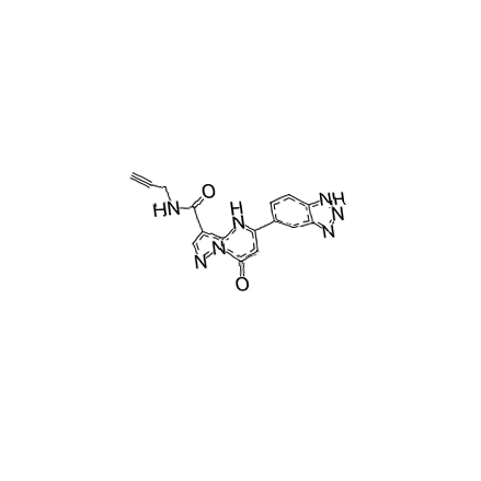 C#CCNC(=O)c1cnn2c(=O)cc(-c3ccc4[nH]nnc4c3)[nH]c12